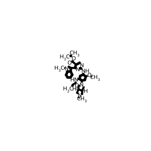 C=CC(=O)Nc1cc(Nc2ncc(C(=O)OC(C)C)c(-c3cn(C)c4ccccc34)n2)c(OC)cc1N1C[C@H]2CN(C)C[C@H]2C1